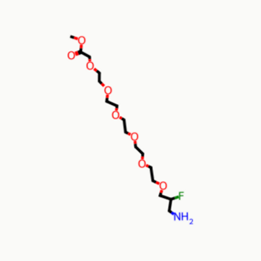 COC(=O)COCCOCCOCCOCCOCCOCC(F)CN